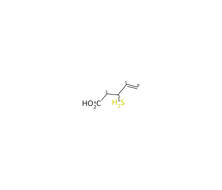 C=CCCC(=O)O.S